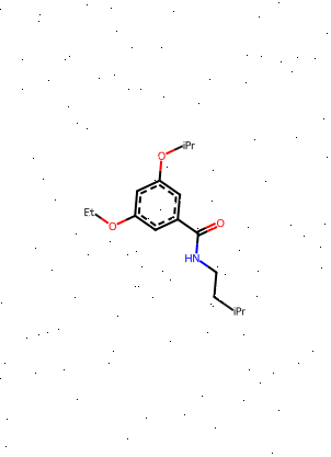 CCOc1cc(OC(C)C)cc(C(=O)NCCC(C)C)c1